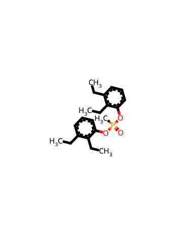 CCc1cccc(OP(C)(=O)Oc2cccc(CC)c2CC)c1CC